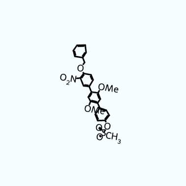 COc1cc(-c2ccc(OCc3ccccc3)c([N+](=O)[O-])c2)c(OC)cc1-c1ccc(OS(C)(=O)=O)cc1